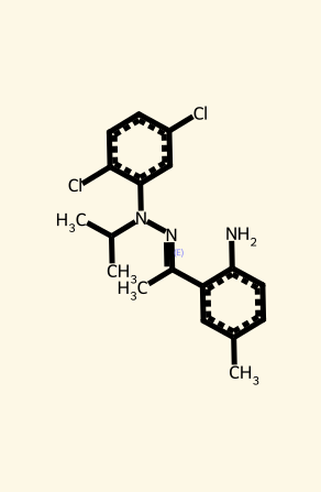 C/C(=N\N(c1cc(Cl)ccc1Cl)C(C)C)c1cc(C)ccc1N